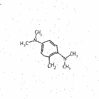 [CH2]c1cc(N(C)C)ccc1N(C)C